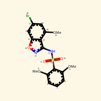 COc1cccc(OC)c1S(=O)(=O)Nc1noc2cc(Br)cc(OC)c12